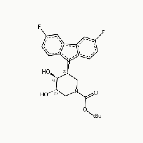 CC(C)(C)OC(=O)N1C[C@H](O)[C@@H](O)[C@@H](n2c3ccc(F)cc3c3cc(F)ccc32)C1